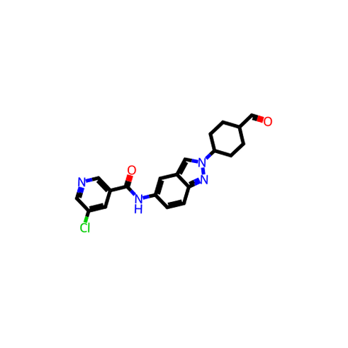 O=CC1CCC(n2cc3cc(NC(=O)c4cncc(Cl)c4)ccc3n2)CC1